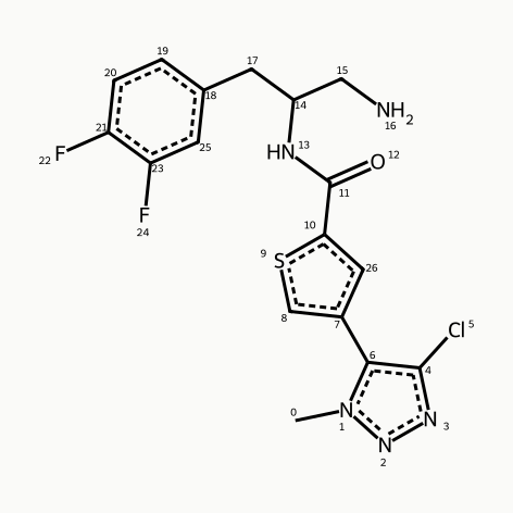 Cn1nnc(Cl)c1-c1csc(C(=O)NC(CN)Cc2ccc(F)c(F)c2)c1